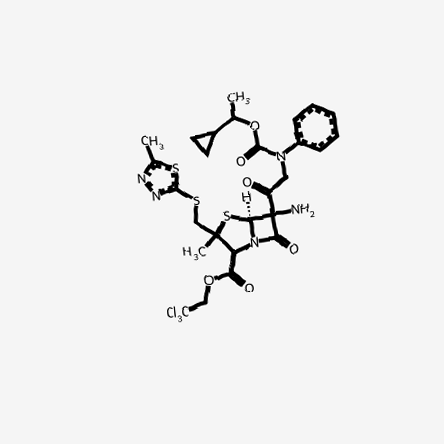 Cc1nnc(SCC2(C)S[C@@H]3N(C(=O)C3(N)C(=O)CN(C(=O)OC(C)C3CC3)c3ccccc3)C2C(=O)OCC(Cl)(Cl)Cl)s1